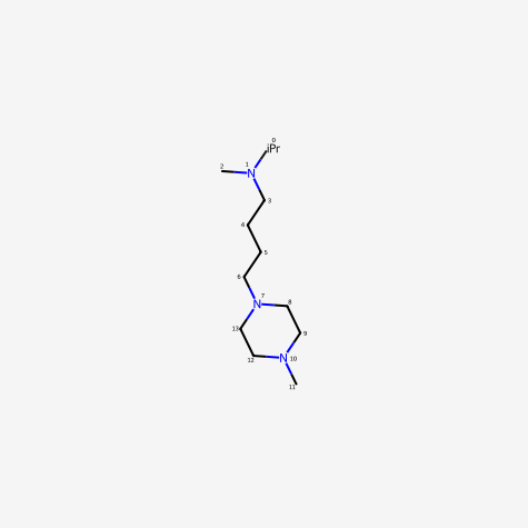 CC(C)N(C)CCCCN1CCN(C)CC1